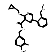 CCNCc1ccccc1-c1cnc(OCC2CC2)c(C(=O)NCc2ccc(OC)c(F)c2)c1